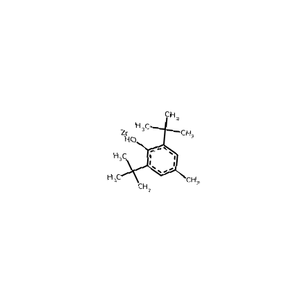 Cc1cc(C(C)(C)C)c(O)c(C(C)(C)C)c1.[Zr]